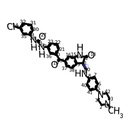 CN1CCN(c2ccc(N/C=C3/C(=O)Nc4cc(C(=O)c5cccc(NC(=O)Nc6cccc(Cl)c6)c5)ccc43)cc2)CC1